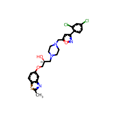 Cc1nc2cc(OC[C@@H](O)CN3CCN(Cc4cc(-c5ccc(Cl)cc5Cl)no4)CC3)ccc2s1